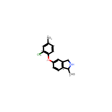 O=CC1NCc2cc(Oc3ccc([N+](=O)[O-])cc3Cl)ccc21